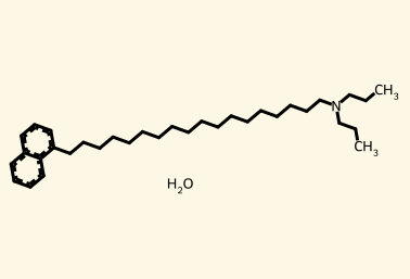 CCCN(CCC)CCCCCCCCCCCCCCCCCCc1cccc2ccccc12.O